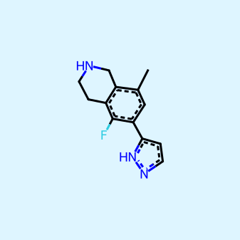 Cc1cc(-c2ccn[nH]2)c(F)c2c1CNCC2